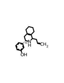 C=CCC1N[C@H](c2cccc(O)c2)CC2=C1CCCC2